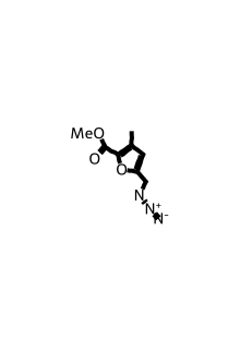 COC(=O)c1oc(CN=[N+]=[N-])cc1C